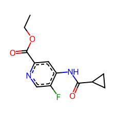 CCOC(=O)c1cc(NC(=O)C2CC2)c(F)cn1